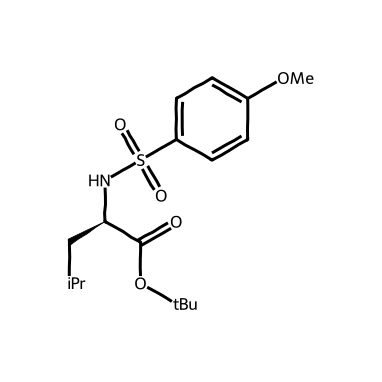 COc1ccc(S(=O)(=O)N[C@H](CC(C)C)C(=O)OC(C)(C)C)cc1